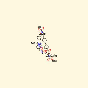 COc1ccc(CN(Cc2ccc(OC)cc2)S(=O)(=O)c2c(S(=O)(=O)C3CN(C(=O)OC(C)(C)C)C3)ccc(-c3ccc(C4CCN(C(=O)OC(C)(C)C)CC4)cc3)c2-c2nnn(Cc3ccc(OC)cc3)n2)cc1